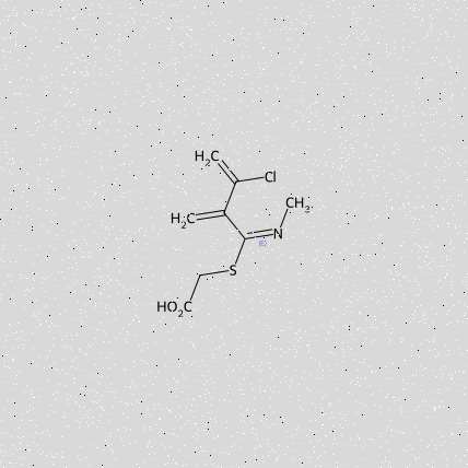 C=C(Cl)C(=C)/C(=N\C)SCC(=O)O